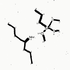 CCCC(=N)CCC.CCC[Si](OC)(OC)OC